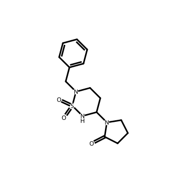 O=C1CCCN1C1CCN(Cc2ccccc2)S(=O)(=O)N1